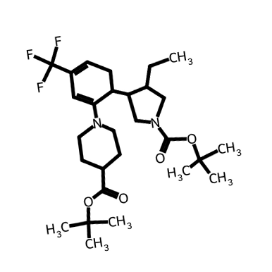 CCC1CN(C(=O)OC(C)(C)C)CC1C1CC=C(C(F)(F)F)C=C1N1CCC(C(=O)OC(C)(C)C)CC1